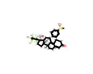 C[S+]([O-])c1ccc([C@H]2C[C@@]3(C)[C@@H](CC[C@@]3(O)C(F)(F)C(F)(F)F)[C@@H]3CCC4=CC(=O)CCC4=C32)cc1